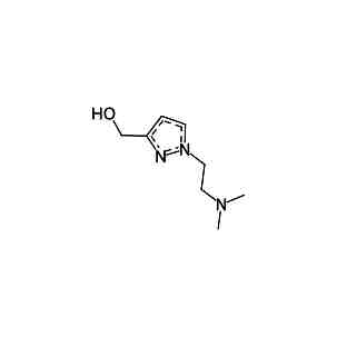 CN(C)CCn1ccc(CO)n1